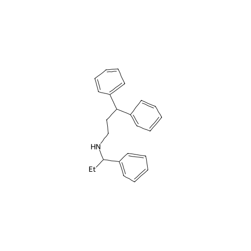 CCC(NCCC(c1ccccc1)c1ccccc1)c1ccccc1